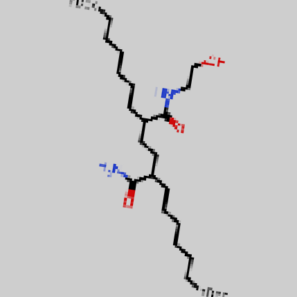 CCCCCCCCCCCCCCCCC(CCC(CCCCCCCCCCCCCCCC)C(=O)NCCO)C(N)=O